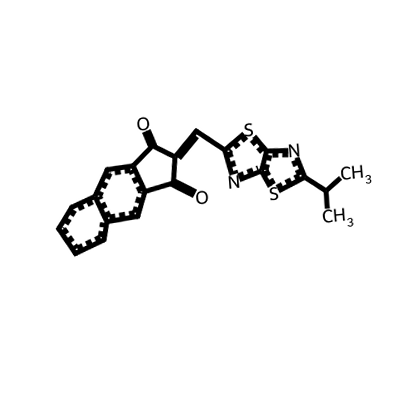 CC(C)c1nc2sc(C=C3C(=O)c4cc5ccccc5cc4C3=O)nc2s1